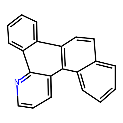 c1ccc2c(c1)ccc1c3ccccc3c3ncccc3c21